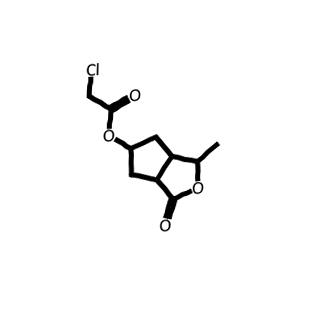 CC1OC(=O)C2CC(OC(=O)CCl)CC12